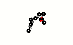 c1ccc(-c2ccc(N(c3ccc(-c4cccc5c4oc4cc6oc(-c7ccccc7)nc6cc45)cc3)c3cccc4c5ccccc5n(-c5ccccc5)c34)cc2)cc1